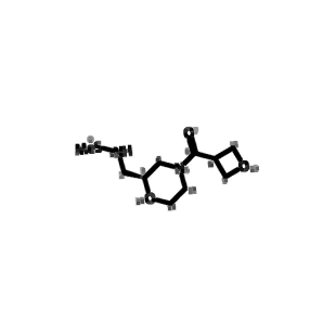 CSNC[C@H]1CN(C(=O)C2COC2)CCO1